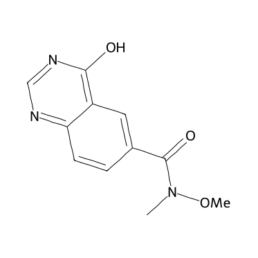 CON(C)C(=O)c1ccc2ncnc(O)c2c1